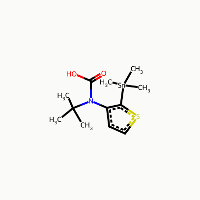 CC(C)(C)N(C(=O)O)c1ccs[c]1[Sn]([CH3])([CH3])[CH3]